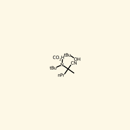 CC(C)(C)O.CCCC(C)(C#N)N(C(=O)O)C(C)(C)C